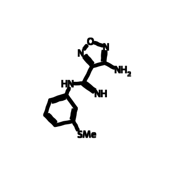 CSc1cccc(NC(=N)c2nonc2N)c1